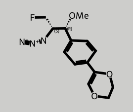 CO[C@H](c1ccc(C2=COCCO2)cc1)[C@@H](CF)N=[N+]=[N-]